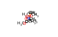 COc1ccc(C(N(CCP(=O)(C(C)C)C(C)C)C(=O)O)C(C)(C)C)cc1